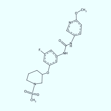 COc1ccc(NC(=O)Nc2cc(F)cc(OC3CCCN(S(C)(=O)=O)C3)c2)cn1